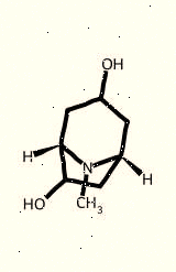 CN1[C@@H]2CC(O)C[C@H]1C(O)C2